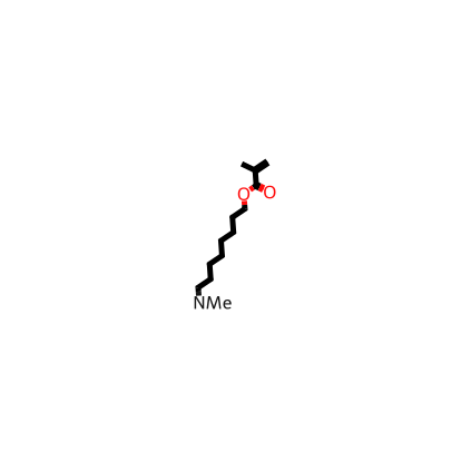 C=C(C)C(=O)OCCCCCCCCNC